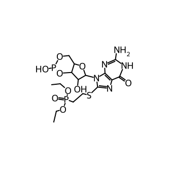 CCOP(=O)(CCSc1nc2c(=O)[nH]c(N)nc2n1C1OC2COP(O)OC2C1O)OCC